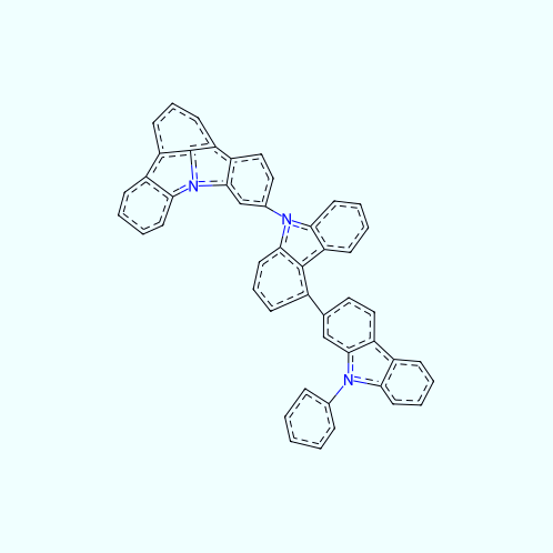 c1ccc(-n2c3ccccc3c3ccc(-c4cccc5c4c4ccccc4n5-c4ccc5c6cccc7c8ccccc8n(c5c4)c76)cc32)cc1